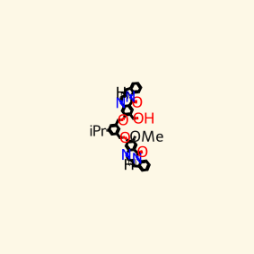 COc1cc2c(cc1OCc1cc(COc3cc4c(cc3CO)C(=O)N3c5ccccc5C[C@H]3C=N4)cc(C(C)C)c1)N=C[C@@H]1Cc3ccccc3N1C2=O